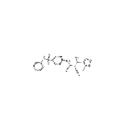 Cc1oncc1C(O)C(C#N)C(=O)Nc1ccc(S(=O)(=O)Nc2ccccc2)cc1